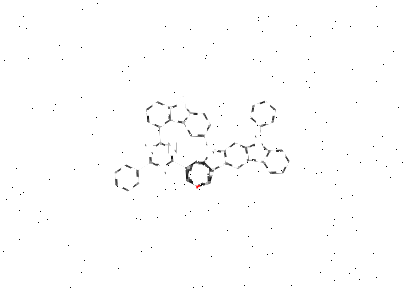 c1ccc(-c2nc(-c3ccccc3)nc(-c3cccc4sc5ccc(-n6c7ccccc7c7cc8c9ccccc9n(-c9ccccc9)c8cc76)cc5c34)n2)cc1